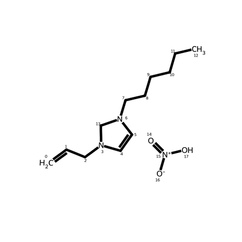 C=CCN1C=CN(CCCCCC)C1.O=[N+]([O-])O